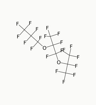 FC(F)(F)C(F)(F)C(F)(F)OC(F)(C(F)(F)F)C(F)(F)OC(F)(C(F)(F)F)C(F)(F)F